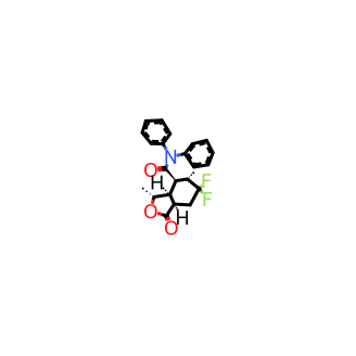 C[C@H]1OC(=O)[C@@H]2CC(F)(F)[C@@H](C)[C@H](C(=O)N(c3ccccc3)c3ccccc3)[C@H]12